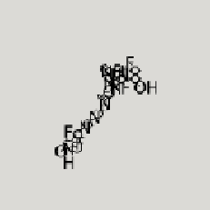 CCc1c(F)ccc2cc(O)cc(-c3ncc4c(N5CC6CCC(C5)N6)nc(OCC5(CN6CCC7(CCN(C8CCN(c9cc(F)c(C%10CCC(=O)NC%10=O)c(F)c9)CC8)CC7)C6)CC5)nc4c3F)c12